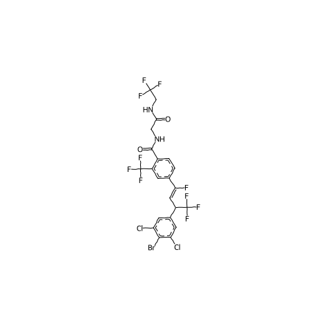 O=C(CNC(=O)c1ccc(C(F)=CC(c2cc(Cl)c(Br)c(Cl)c2)C(F)(F)F)cc1C(F)(F)F)NCC(F)(F)F